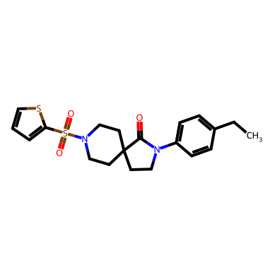 CCc1ccc(N2CCC3(CCN(S(=O)(=O)c4cccs4)CC3)C2=O)cc1